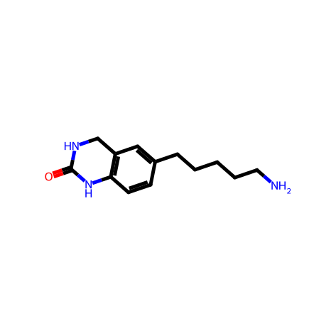 NCCCCCc1ccc2c(c1)CNC(=O)N2